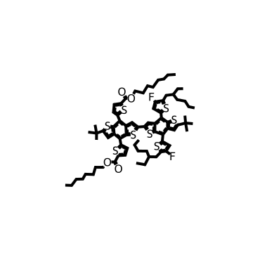 CCCCCCCCOC(=O)c1ccc(-c2c3cc(C(C)(C)C)sc3c(-c3ccc(C(=O)OCCCCCCCC)s3)c3cc(-c4cc5c(-c6cc(F)c(CC(CC)CCCC)s6)c6sc(C(C)(C)C)cc6c(-c6cc(F)c(CC(CC)CCCC)s6)c5s4)sc23)s1